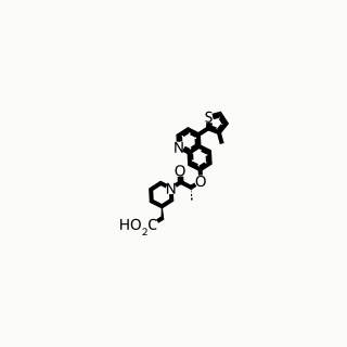 Cc1ccsc1-c1ccnc2cc(O[C@H](C)C(=O)N3CCC[C@H](CC(=O)O)C3)ccc12